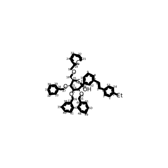 CCc1ccc(C=Cc2cccc(C3(O)S[C@H](COCc4ccccc4)[C@@H](OCc4ccccc4)[C@H](OCc4ccccc4)[C@H]3OCc3ccccc3)c2)cc1